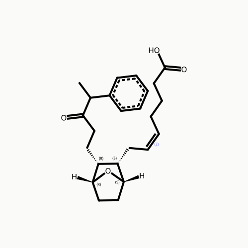 CC(C(=O)CC[C@@H]1[C@H](C/C=C\CCCC(=O)O)[C@@H]2CC[C@H]1O2)c1ccccc1